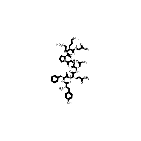 NCCC[C@H](NC(=O)[C@@H]1CCCN1C(=O)[C@H](CCSCCC(=O)O)NC(=O)[C@H](CC(N)=O)NC(=O)[C@H](CCC(N)=O)NC(=O)[C@H](Cc1ccccc1)NC(=O)[C@@H](N)Cc1ccc(O)cc1)C(=O)NCC(N)=O